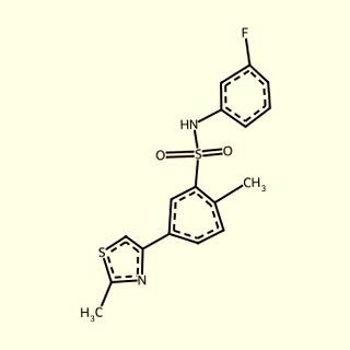 Cc1nc(-c2ccc(C)c(S(=O)(=O)Nc3cccc(F)c3)c2)cs1